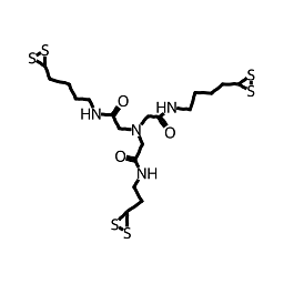 O=C(CN(CC(=O)NCCCCC1SS1)CC(=O)NCCC1SS1)NCCCCC1SS1